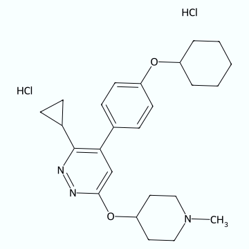 CN1CCC(Oc2cc(-c3ccc(OC4CCCCC4)cc3)c(C3CC3)nn2)CC1.Cl.Cl